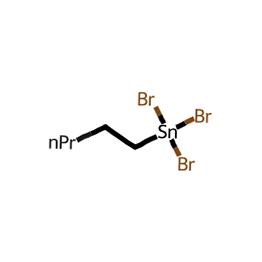 CCCC[CH2][Sn]([Br])([Br])[Br]